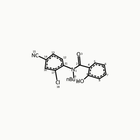 CCCCN(C(=O)c1ccccc1O)c1ccc(C#N)cc1Cl